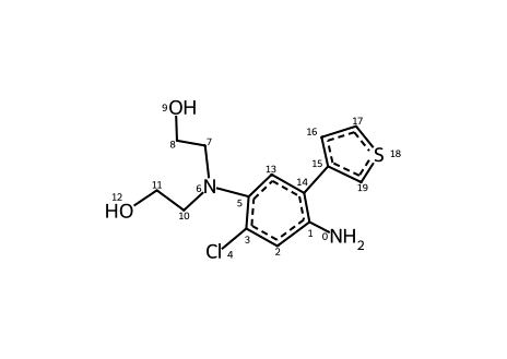 Nc1cc(Cl)c(N(CCO)CCO)cc1-c1ccsc1